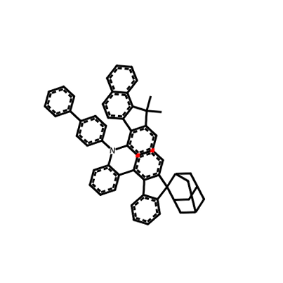 CC1(C)c2cccc(N(c3ccc(-c4ccccc4)cc3)c3ccccc3-c3cccc4c3-c3ccccc3C43C4CC5CC(C4)CC3C5)c2-c2ccc3ccccc3c21